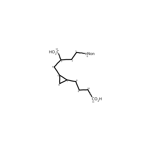 CCCCCCCCCCCC(CC1CC1CCCC(=O)O)C(=O)O